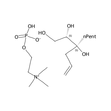 C=CC[C@@](O)(CCCCC)[C@@H](O)CO.C[N+](C)(C)CCOP(=O)([O-])O